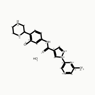 Cl.O=C(Nc1ccc(C2CNCCO2)c(Cl)c1)c1cnn(-c2cncc(C(F)(F)F)n2)c1